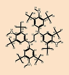 COc1c(C(C)(C)C)cc(P(CCP(c2cc(C(C)(C)C)c(OC)c(C(C)(C)C)c2)c2cc(C(C)(C)C)c(OC)c(C(C)(C)C)c2)c2cc(C(C)(C)C)c(OC)c(C(C)(C)C)c2)cc1C(C)(C)C